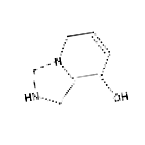 OC1=C2CNCN2CC=C1